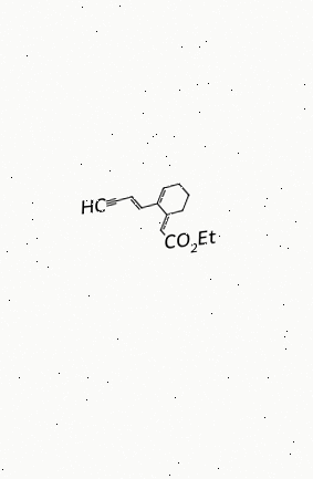 C#CC=CC1=CCCCC1=CC(=O)OCC